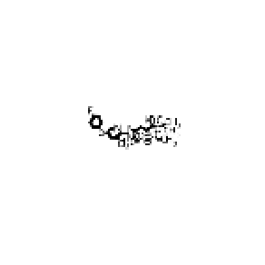 CCOP(=O)(OCC)C(Cc1nc(-c2ncc(Oc3ccc(F)cc3)cc2Cl)no1)C(=O)OC(C)(C)C